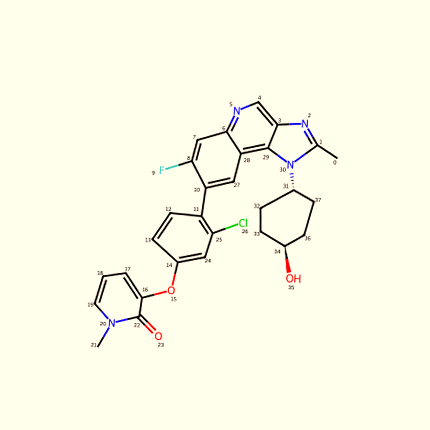 Cc1nc2cnc3cc(F)c(-c4ccc(Oc5cccn(C)c5=O)cc4Cl)cc3c2n1[C@H]1CC[C@H](O)CC1